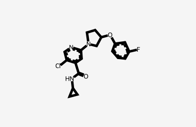 O=C(NC1CC1)c1cc(N2CCC(Oc3cccc(F)c3)C2)ncc1Cl